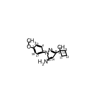 COc1ccc(-n2nc(C3(C)CCC3)cc2N)cc1